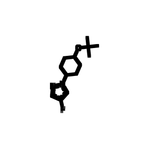 CC(C)(C)OC1CCC(n2cc(F)cn2)CC1